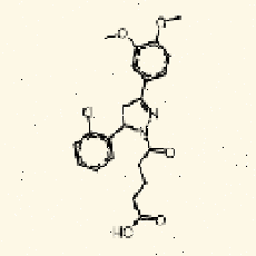 COc1ccc(C2=NN(C(=O)CCCC(=O)O)C(c3ccccc3Cl)C2)cc1OC